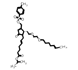 CCCCCCCOCCOCC[C@H]1C(COS(=O)(=O)c2ccc(C)cc2)CC(=O)C1CC=CCCCC(=O)OC(C)C